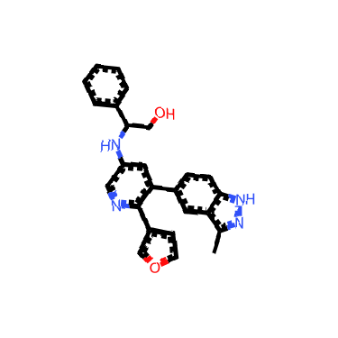 Cc1n[nH]c2ccc(-c3cc(NC(CO)c4ccccc4)cnc3-c3ccoc3)cc12